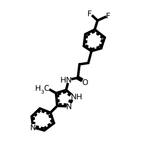 Cc1c(-c2ccncc2)n[nH]c1NC(=O)CCc1ccc(C(F)F)cc1